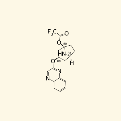 O=C(O[C@]12CC[C@@H](C[C@@H](Oc3cnc4ccccc4n3)C1)N2)C(F)(F)F